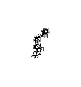 CC(C)(C)OC(=O)c1ccc(-n2ccc(OCC3CC4CC[C@H]3C4)n2)nc1Cl